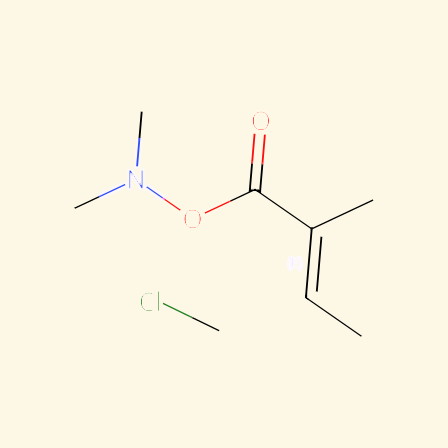 C/C=C(\C)C(=O)ON(C)C.CCl